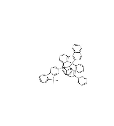 CC1(C)c2ccccc2-c2ccc(N(c3ccc(-c4ccccc4)cc3)c3cccc4c3C(c3ccccc3)(c3ccccc3)c3ccc5ccccc5c3-4)cc21